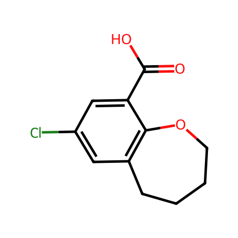 O=C(O)c1cc(Cl)cc2c1OCCCC2